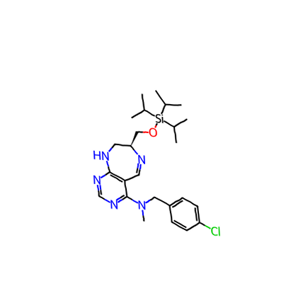 CC(C)[Si](OC[C@@H]1CNc2ncnc(N(C)Cc3ccc(Cl)cc3)c2C=N1)(C(C)C)C(C)C